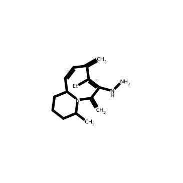 C=C1/C=C\C2CCCC(C)N2C(=C)/C(NN)=C/1CC